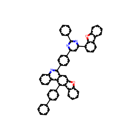 c1ccc(-c2ccc(-c3c4c(cc5c(-c6ccc(-c7cc(-c8cccc9c8oc8ccccc89)nc(-c8ccccc8)n7)cc6)nc6ccccc6c35)oc3ccccc34)cc2)cc1